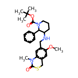 COc1cc2c(cc1CNC1CCCN(C(=O)OC(C)(C)C)C1c1ccccc1)N(C)C(=O)SC2